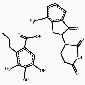 CCCc1c(C(=O)O)cc(O)c(O)c1O.Nc1cccc2c1CN(C1CCC(=O)NC1=O)C2=O